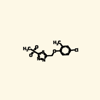 Cc1cc(Cl)ccc1OCc1nnc(S(C)(=O)=O)s1